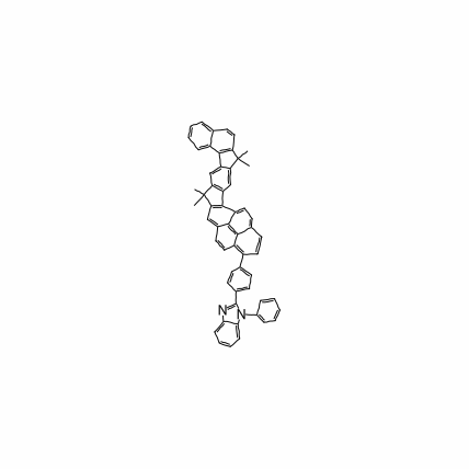 CC1(C)c2cc3c(cc2-c2c1ccc1ccccc21)C(C)(C)c1cc2ccc4c(-c5ccc(-c6nc7ccccc7n6-c6ccccc6)cc5)ccc5ccc(c1-3)c2c54